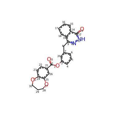 O=C(Oc1cccc(Cc2n[nH]c(=O)c3ccccc23)c1)c1ccc2c(c1)OCCCO2